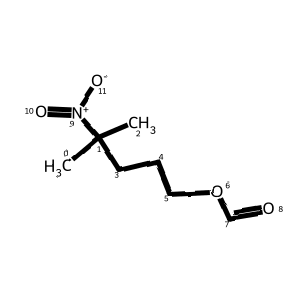 CC(C)(CCCOC=O)[N+](=O)[O-]